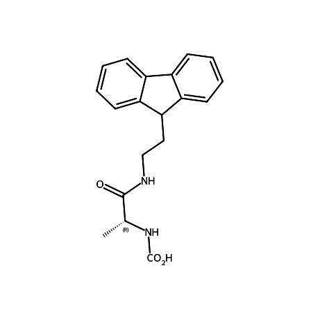 C[C@@H](NC(=O)O)C(=O)NCCC1c2ccccc2-c2ccccc21